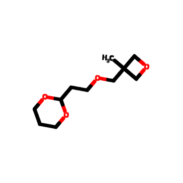 CC1(COCCC2OCCCO2)COC1